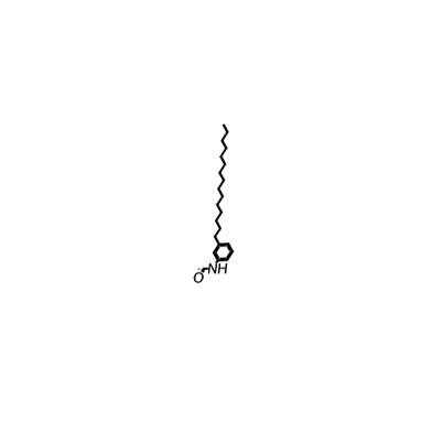 CCCCCCCCCCCCCCCc1cccc(N[C]=O)c1